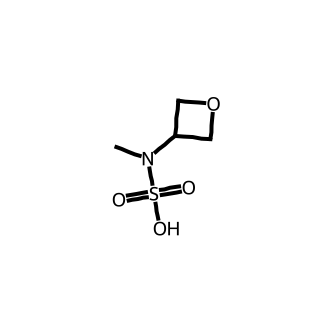 CN(C1COC1)S(=O)(=O)O